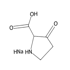 O=C(O)C1NCCC1=O.[NaH]